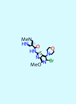 CN/C=C(\C=N)C(=O)Nc1nc2c(OC)nc(Br)c(N3CCOCC3)c2s1